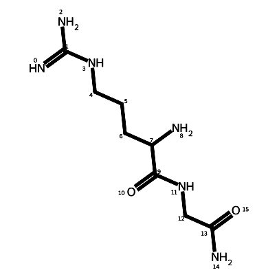 N=C(N)NCCCC(N)C(=O)NCC(N)=O